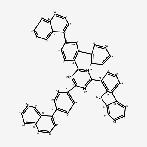 c1ccc(-c2cc(-c3cccc4ccccc34)ccc2-c2nc(-c3ccc(-c4cccc5ccccc45)cc3)nc(-c3cccc4c3oc3ccccc34)n2)cc1